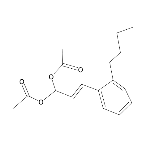 CCCCc1ccccc1C=CC(OC(C)=O)OC(C)=O